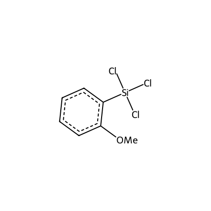 COc1ccccc1[Si](Cl)(Cl)Cl